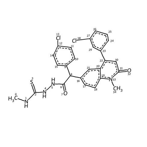 CNC(=S)NNC(=O)C(c1ccc(Cl)cc1)c1ccc2c(c1)c(-c1cccc(Cl)c1)cc(=O)n2C